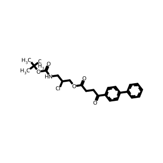 CC(C)(C)OC(=O)NCC(Cl)COC(=O)CCC(=O)c1ccc(-c2ccccc2)cc1